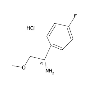 COC[C@@H](N)c1ccc(F)cc1.Cl